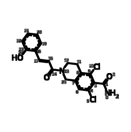 NC(=O)c1c(Cl)cc2c(c1Cl)CCN(C(=O)/C=C/c1ccccc1O)C2